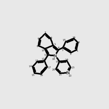 c1ccc(-c2c3ccccc3c(-c3ccccc3)n2-c2ccncc2)cc1